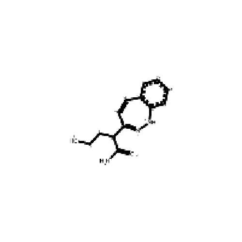 NC(=O)C(CCO)C1=NNc2ccccc2C=C1